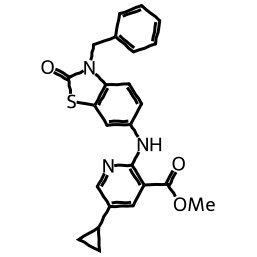 COC(=O)c1cc(C2CC2)cnc1Nc1ccc2c(c1)sc(=O)n2Cc1ccccc1